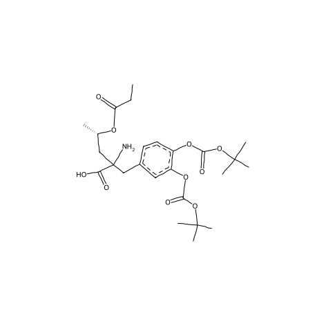 CCC(=O)O[C@@H](C)CC(N)(Cc1ccc(OC(=O)OC(C)(C)C)c(OC(=O)OC(C)(C)C)c1)C(=O)O